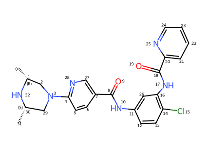 C[C@@H]1CN(c2ccc(C(=O)Nc3ccc(Cl)c(NC(=O)c4ccccn4)c3)cn2)C[C@H](C)N1